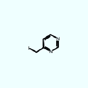 ICc1ccncn1